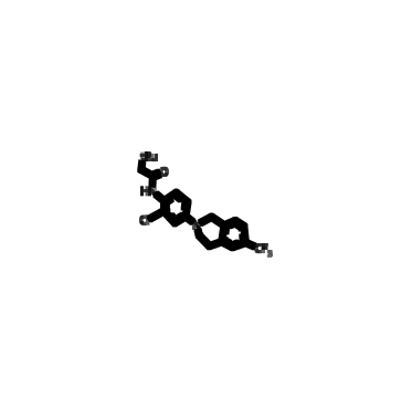 CC(C)(C)CC(=O)Nc1ccc(N2CCc3cc(C(F)(F)F)ccc3C2)cc1Cl